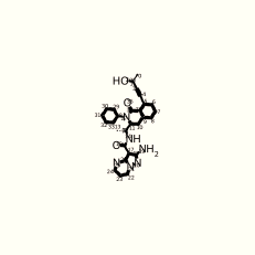 C[C@H](O)C#Cc1cccc2cc([C@@H](C)NC(=O)c3c(N)nn4cccnc34)n(-c3ccccc3)c(=O)c12